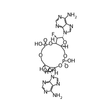 Nc1ncnc2c1ncn2[C@@H]1O[C@@H]2COP(=O)(O)O[C@@H]3[C@H](O)[C@@H](COCP(=O)(O)O[C@H]2[C@H]1F)O[C@H]3n1cnc2c(N)ncnc21